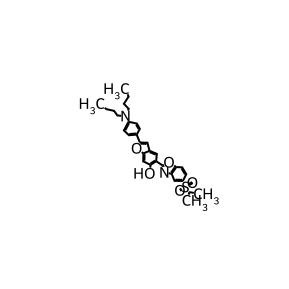 CCCCN(CCCC)c1ccc(-c2cc3cc(-c4nc5cc(S(=O)(=O)C(C)C)ccc5o4)c(O)cc3o2)cc1